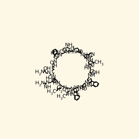 CCCC[C@H]1C(=O)N(C)[C@@H](CCCC)C(=O)N[C@@H](CCCNC(=N)N)C(=O)N[C@H](C(=O)NCC(N)=O)CSCC(=O)N[C@@H](Cc2ccccc2)C(=O)N(C)[C@@H](C)C(=O)N[C@@H](CC(N)=O)C(=O)N2CCC[C@H]2C(=O)N[C@@H](Cc2cnc[nH]2)C(=O)N[C@@H](CC(C)C)C(=O)N[C@@H](CO)C(=O)N[C@@H](Cc2c[nH]c3ccccc23)C(=O)N[C@@H](CO)C(=O)N[C@@H](Cc2c[nH]c3ccccc23)C(=O)N1C